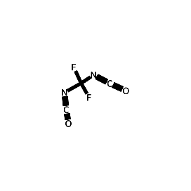 O=C=NC(F)(F)N=C=O